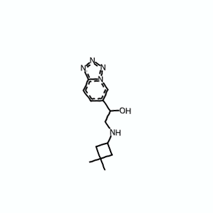 CC1(C)CC(NCC(O)c2ccc3nnnn3c2)C1